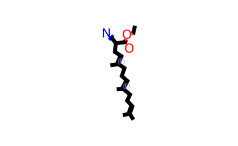 CCOC(=O)C(C#N)C/C=C(\C)CC/C=C(\C)CCC=C(C)C